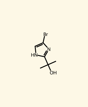 CC(C)(O)c1nc(Br)c[nH]1